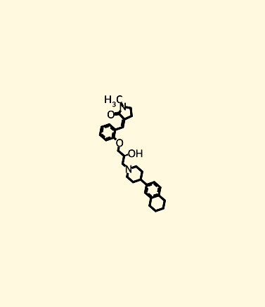 CN1CC/C(=C/c2ccccc2OC[C@@H](O)CN2CCC(c3ccc4c(c3)CCCC4)CC2)C1=O